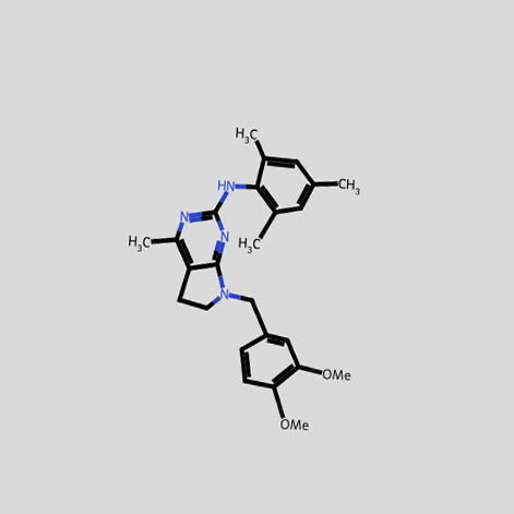 COc1ccc(CN2CCc3c(C)nc(Nc4c(C)cc(C)cc4C)nc32)cc1OC